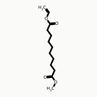 C=COC(=O)CCCCCCCCC(=O)OC